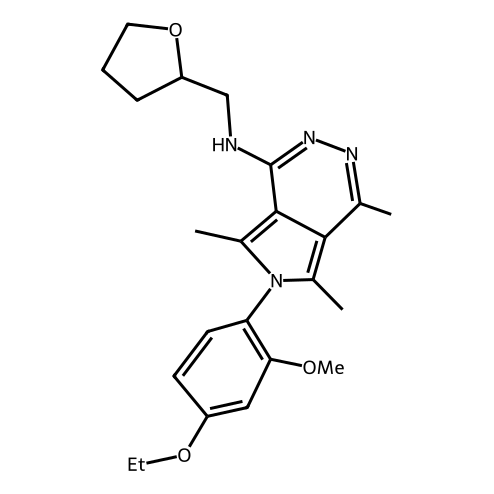 CCOc1ccc(-n2c(C)c3c(C)nnc(NCC4CCCO4)c3c2C)c(OC)c1